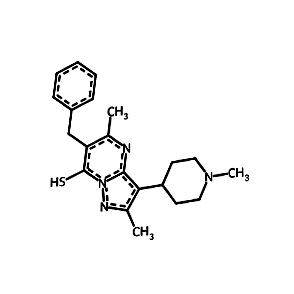 Cc1nc2c(C3CCN(C)CC3)c(C)nn2c(S)c1Cc1ccccc1